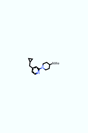 CNC1CCN(c2cc(CC3CC3)ccn2)CC1